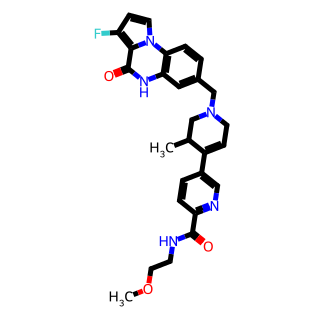 COCCNC(=O)c1ccc(C2=CCN(Cc3ccc4c(c3)[nH]c(=O)c3c(F)ccn34)CC2C)cn1